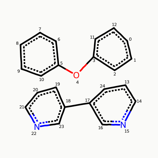 c1ccc(Oc2ccccc2)cc1.c1cncc(-c2cccnc2)c1